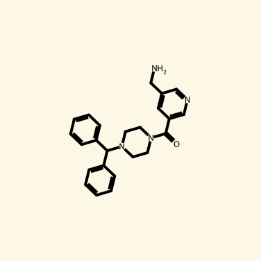 NCc1cncc(C(=O)N2CCN(C(c3ccccc3)c3ccccc3)CC2)c1